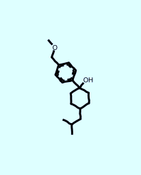 COCc1ccc(C2(O)CCC(CC(C)C)CC2)cc1